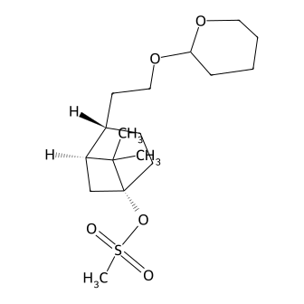 CC1(C)[C@H]2C[C@]1(OS(C)(=O)=O)CC[C@H]2CCOC1CCCCO1